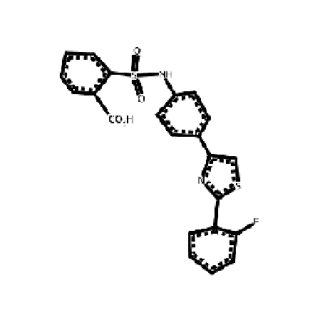 O=C(O)c1ccccc1S(=O)(=O)Nc1ccc(-c2csc(-c3ccccc3F)n2)cc1